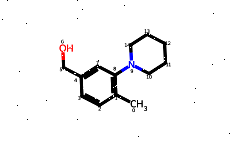 Cc1ccc(CO)cc1N1CCCCC1